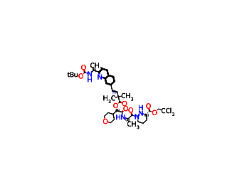 C[C@H](NC(=O)[C@@H](OC(=O)C(C)(C)/C=C/c1ccc2ccc([C@@H](C)NC(=O)OC(C)(C)C)nc2c1)C1CCOCC1)C(=O)N1CCC[C@@H](C(=O)OCC(Cl)(Cl)Cl)N1